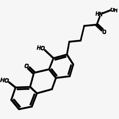 O=C(CCCc1ccc2c(c1O)C(=O)c1c(O)cccc1C2)NO